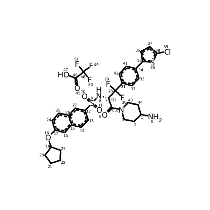 NC1CCN(C(=O)[C@H](NS(=O)(=O)c2ccc3cc(OC4CCCC4)ccc3c2)C(F)(F)c2ccc(-c3ccc(Cl)s3)cc2)CC1.O=C(O)C(F)(F)F